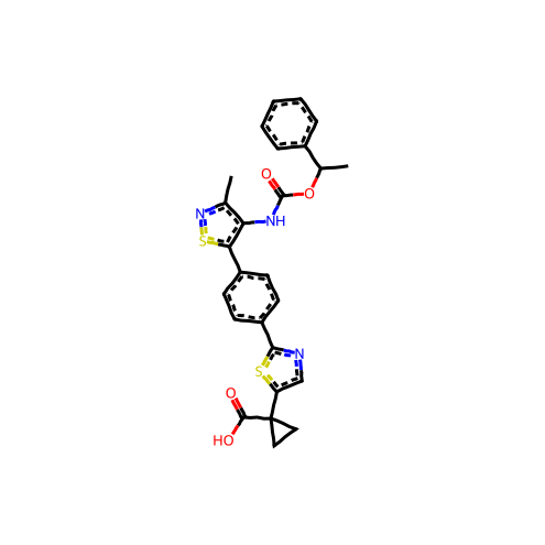 Cc1nsc(-c2ccc(-c3ncc(C4(C(=O)O)CC4)s3)cc2)c1NC(=O)OC(C)c1ccccc1